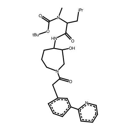 CC(C)CC(C(=O)NC1CCCN(C(=O)Cc2cccc(-c3ccccn3)c2)CC1O)N(C)C(=O)OC(C)(C)C